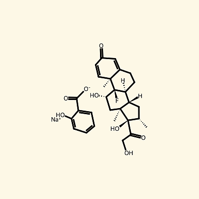 C[C@H]1C[C@H]2[C@@H]3CCC4=CC(=O)C=C[C@]4(C)[C@@]3(F)[C@@H](O)C[C@]2(C)[C@@]1(O)C(=O)CO.O=C([O-])c1ccccc1O.[Na+]